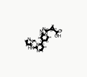 Cn1nccc1Nc1nccc(-c2ccn3c(C4CC4C(=O)O)nnc3c2)n1